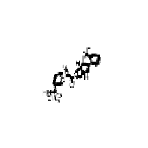 CNC(=O)c1ccc2nnc(C(=O)N3C[C@H]4C[C@@H](c5ccccc5C(F)(F)F)C[C@H]4C3)n2c1